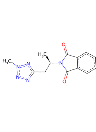 C[C@H](Cc1nnn(C)n1)N1C(=O)c2ccccc2C1=O